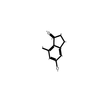 Cc1cc(Cl)cc2c1C(=O)CC2